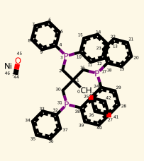 CC(CP(c1ccccc1)c1ccccc1)(CP(c1ccccc1)c1ccccc1)CP(c1ccccc1)c1ccccc1.[C]=O.[Ni]